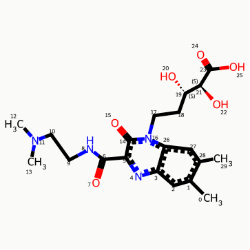 Cc1cc2nc(C(=O)NCCN(C)C)c(=O)n(CC[C@H](O)[C@H](O)C(=O)O)c2cc1C